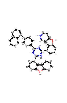 c1cc2c3c(cccc3c1)-c1cc(-c3nc(-c4cccc5oc6ccccc6c45)nc(-c4cccc5oc6ccncc6c45)n3)ccc1-2